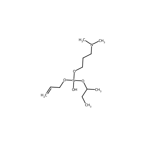 C=CCO[Si](O)(OCCCN(C)C)OC(C)CC